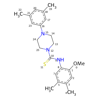 COc1cc(C)c(C)cc1NC(=S)N1CCN(c2cc(C)cc(C)c2)CC1